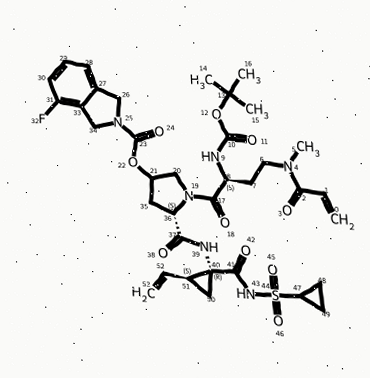 C=CC(=O)N(C)CC[C@H](NC(=O)OC(C)(C)C)C(=O)N1CC(OC(=O)N2Cc3cccc(F)c3C2)C[C@H]1C(=O)N[C@]1(C(=O)NS(=O)(=O)C2CC2)C[C@H]1C=C